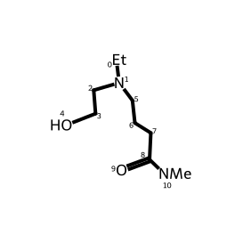 CCN(CCO)CCCC(=O)NC